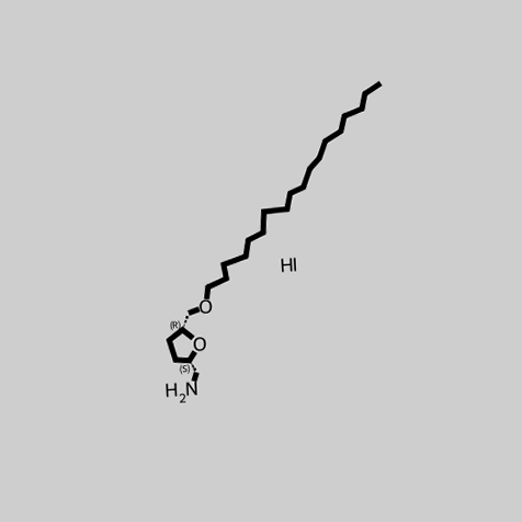 CCCCCCCCCCCCCCCCCCOC[C@H]1CC[C@@H](CN)O1.I